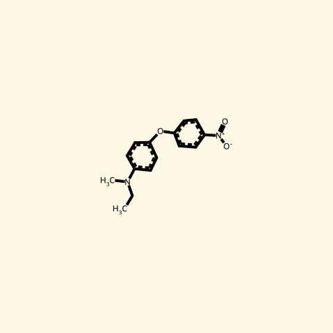 CCN(C)c1ccc(Oc2ccc([N+](=O)[O-])cc2)cc1